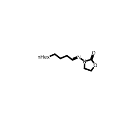 CCCCCCCCC/C=N/N1CCOC1=O